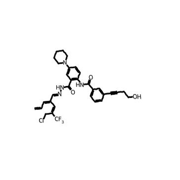 C=C/C=C(\C=C(/CCl)C(F)(F)F)/C=N/NC(=O)c1cc(N2CCCCC2)ccc1NC(=O)c1cccc(C#CCCO)c1